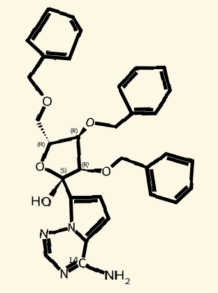 N[14c]1ncnn2c([C@]3(O)O[C@H](COCc4ccccc4)[C@@H](OCc4ccccc4)[C@H]3OCc3ccccc3)ccc12